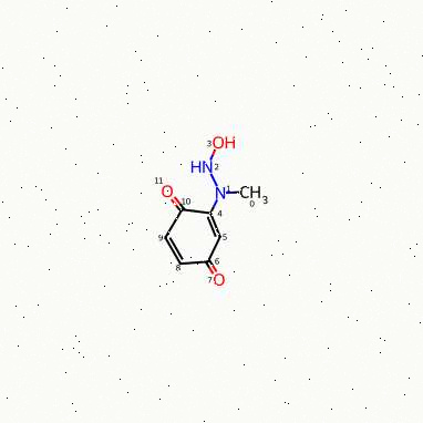 CN(NO)C1=CC(=O)C=CC1=O